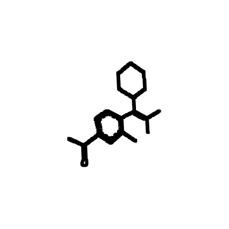 CC(=O)c1ccc(C(=C(C)C)C2CCCCC2)c(C)c1